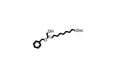 CCCCCCCCCCCCCCCCCC[C@@H](CO)OCc1ccccc1